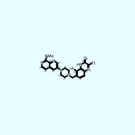 CCc1nc2ccc(CN3CCN(c4cnc5c(NC)nccc5c4)CC3)c(F)c2[nH]c1=O